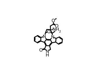 COC(=O)C[C@@]1(N)CC2OC1(C)N1c3c(c4c(c5c6ccccc6n2c35)C(=O)NC4)C2C=CC=CC21